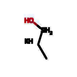 CC[SiH2]O.[KH]